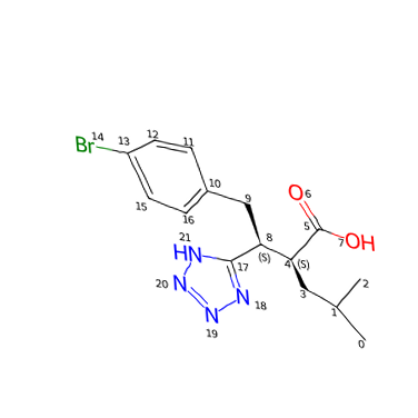 CC(C)C[C@H](C(=O)O)[C@H](Cc1ccc(Br)cc1)c1nnn[nH]1